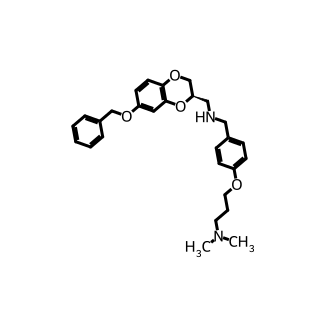 CN(C)CCCOc1ccc(CNC[C@@H]2COc3ccc(OCc4ccccc4)cc3O2)cc1